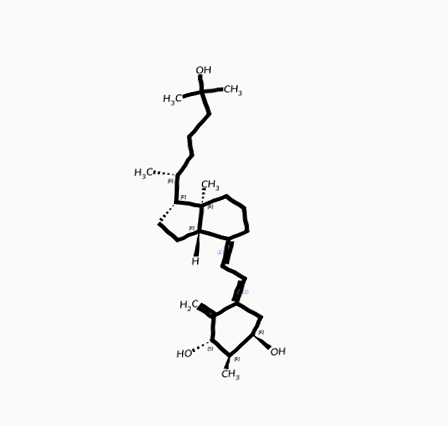 C=C1/C(=C\C=C2/CCC[C@]3(C)[C@@H]([C@H](C)CCCC(C)(C)O)CC[C@@H]23)C[C@@H](O)[C@@H](C)[C@@H]1O